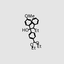 CCOC(OCC)c1ccc(C(O)(c2ccc(OC)cc2)C(CC)c2ccccc2)cc1